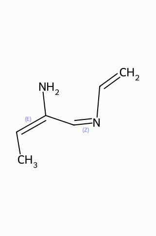 C=C/N=C\C(N)=C/C